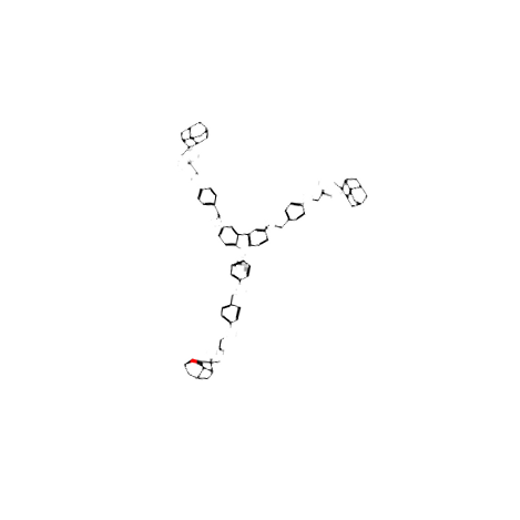 CC1(OC(=O)COc2ccc(COc3ccc([SH]4c5ccc(OCc6ccc(OCC(=O)OC7(C)C8CC9CC(C8)CC7C9)cc6)cc5-c5cc(OCc6ccc(OCC(=O)OC7(C)C8CC9CC(C8)CC7C9)cc6)ccc54)cc3)cc2)C2CC3CC(C2)CC1C3